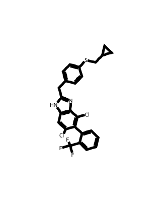 FC(F)(F)c1ccccc1-c1c(Cl)cc2[nH]c(Cc3ccc(SCC4CC4)cc3)nc2c1Cl